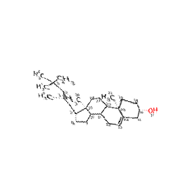 C[C@H](CC(C)(C)C)[C@H]1CCC2C3CC=C4C[C@@H](O)CC[C@]4(C)C3CC[C@@]21C